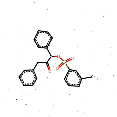 Cc1cccc(S(=O)(=O)OC(C(=O)Cc2ccccc2)c2ccccc2)c1